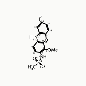 COc1c(NS(C)(=O)=O)cccc1Oc1ccc(F)cc1N